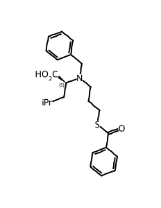 CC(C)C[C@@H](C(=O)O)N(CCCSC(=O)c1ccccc1)Cc1ccccc1